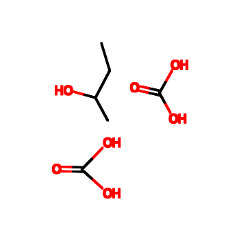 CCC(C)O.O=C(O)O.O=C(O)O